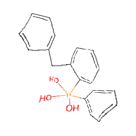 OP(O)(O)(c1ccccc1)c1ccccc1Cc1ccccc1